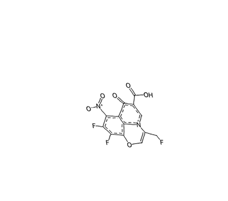 O=C(O)c1cn2c3c(c(F)c(F)c([N+](=O)[O-])c3c1=O)OC=C2CF